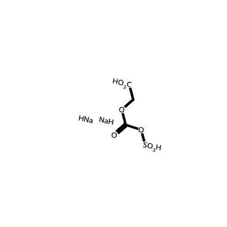 O=C(O)COC(=O)OS(=O)(=O)O.[NaH].[NaH]